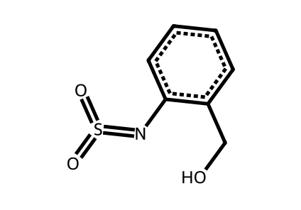 O=S(=O)=Nc1ccccc1CO